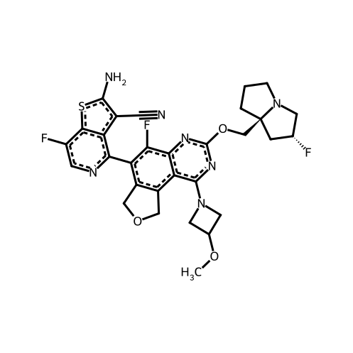 COC1CN(c2nc(OC[C@@]34CCCN3C[C@H](F)C4)nc3c(F)c(-c4ncc(F)c5sc(N)c(C#N)c45)c4c(c23)COC4)C1